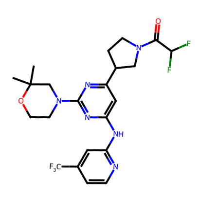 CC1(C)CN(c2nc(Nc3cc(C(F)(F)F)ccn3)cc(C3CCN(C(=O)C(F)F)C3)n2)CCO1